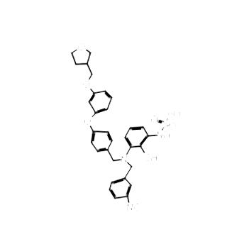 [C-]#[N+]c1cccc(CN(Cc2ccc(Oc3cccc(OCC4CCOC4)c3)cc2)c2cccc(NS(=O)(=O)CCC)c2C)c1